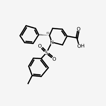 Cc1ccc(S(=O)(=O)N2CC(C(=O)O)=CC[C@H]2c2ccccc2)cc1